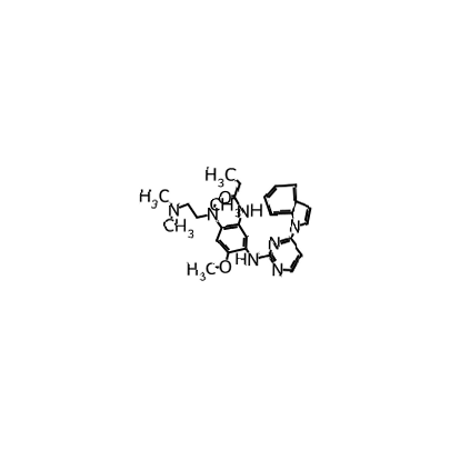 CCC(=O)Nc1cc(Nc2nccc(-n3ccc4ccccc43)n2)c(OC)cc1N(C)CCN(C)C